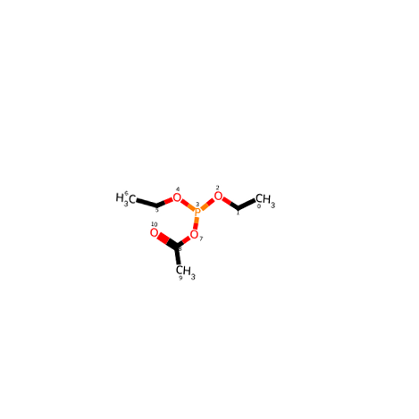 CCOP(OCC)OC(C)=O